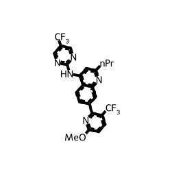 CCCc1cc(Nc2ncc(C(F)(F)F)cn2)c2ccc(-c3nc(OC)ccc3C(F)(F)F)cc2n1